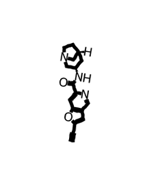 C#Cc1cc2cnc(C(=O)N[C@@H]3C[C@H]4CCN(C4)C3)cc2o1